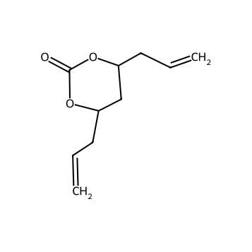 C=CCC1CC(CC=C)OC(=O)O1